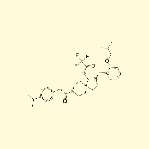 CC(C)COc1ccccc1CN1CCC2(CCN(C(=O)Cc3ccc(C(C)C)cc3)CC2)C1OC(=O)C(F)(F)F